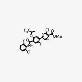 COC(=O)c1ncc(-c2cc(OC(C)C(F)(F)F)c(C(=O)Nc3c(F)cccc3Cl)cc2F)nc1Cl